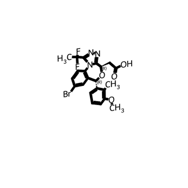 COc1cccc([C@H]2O[C@H](CC(=O)O)c3nnc(C(C)(F)F)n3-c3ccc(Br)cc32)c1C